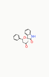 O=C1C[C@@H](c2ccccc2)O[C@]2(C1)C(=O)Nc1ccccc12